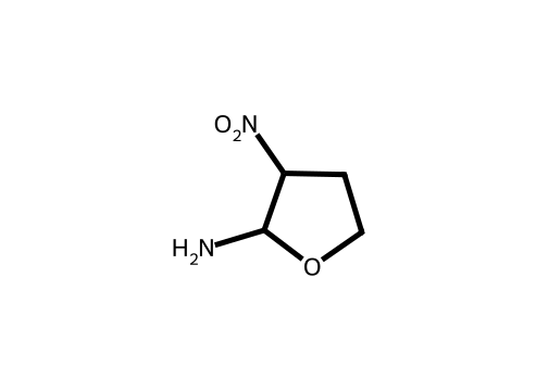 NC1OCCC1[N+](=O)[O-]